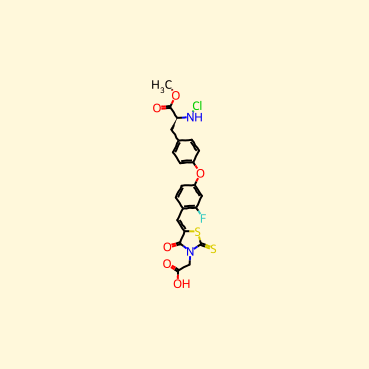 COC(=O)[C@H](Cc1ccc(Oc2ccc(/C=C3\SC(=S)N(CC(=O)O)C3=O)c(F)c2)cc1)NCl